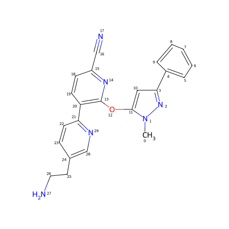 Cn1nc(-c2ccccc2)cc1Oc1nc(C#N)ccc1-c1ccc(CCN)cn1